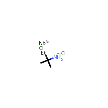 CCC(C)(C)N.[Cl-].[Cl-].[Cl-].[Nb+3]